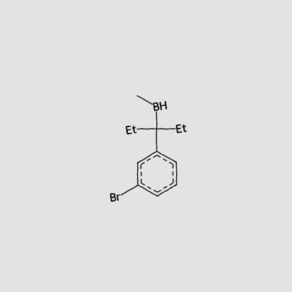 CBC(CC)(CC)c1cccc(Br)c1